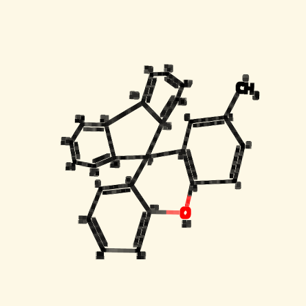 Cc1ccc2c(c1)C1(c3ccccc3O2)c2ccccc2-c2ccccc21